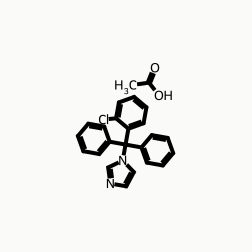 CC(=O)O.Clc1ccccc1C(c1ccccc1)(c1ccccc1)n1ccnc1